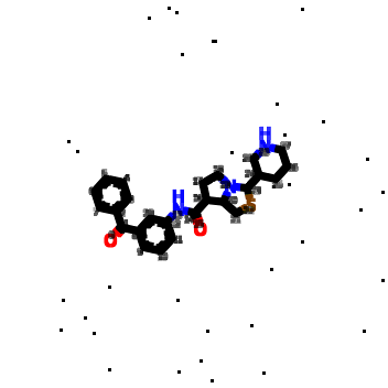 O=C(c1ccccc1)c1cccc(NC(=O)C2CCN3C2CSC3C2CCCNC2)c1